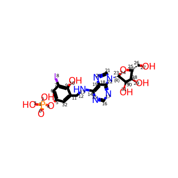 O=P(O)(O)Oc1cc(I)c(O)c(CNc2ncnc3c2ncn3[C@@H]2O[C@H](CO)[C@@H](O)[C@H]2O)c1